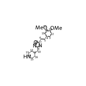 COc1ccc(C=Cc2nc(CC3CCNCC3)no2)cc1OC